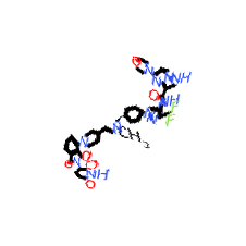 CN(CCC1CCN(c2cccc3c2C(=O)N(C2CCC(=O)NC2=O)C3=O)CC1)C[C@H]1CC[C@H](n2cc(NC(=O)C3CNN4C=CC(N5CCOCC5)=NC34)c(C(F)F)n2)CC1